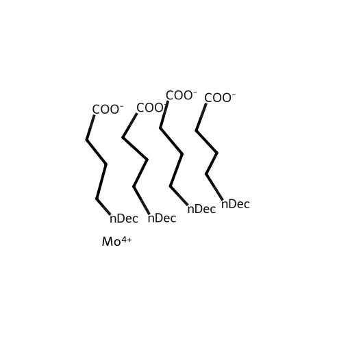 CCCCCCCCCCCCCC(=O)[O-].CCCCCCCCCCCCCC(=O)[O-].CCCCCCCCCCCCCC(=O)[O-].CCCCCCCCCCCCCC(=O)[O-].[Mo+4]